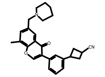 Cc1cc(CN2CCCCC2)cc2c(=O)c(-c3cccc(C4CC(C#N)C4)c3)coc12